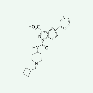 O=C(O)c1nn(C(=O)NC2CCN(CC3CCC3)CC2)c2ccc(-c3cccnc3)cc12